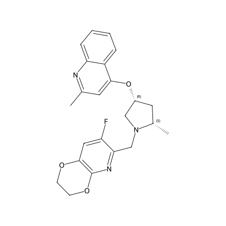 Cc1cc(O[C@@H]2C[C@H](C)N(Cc3nc4c(cc3F)OCCO4)C2)c2ccccc2n1